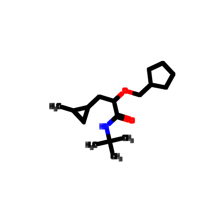 CC1CC1CC(OCC1CCCC1)C(=O)NC(C)(C)C